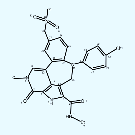 CCNC(=O)c1[nH]c2c(=O)n(C)cc3c2c1CN(c1ccc(Cl)cc1)c1ccc(CS(C)(=O)=O)cc1-3